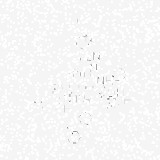 COC(=O)N[C@H](C(=O)N[C@H](Cc1ccc(-c2ccccn2)cc1)C[C@H](OP(=O)(O)O)[C@H](Cc1ccccc1)NC(=O)[C@@H](N1CCN(Cc2cccc(C(C)(C)O)n2)C1=O)C(C)(C)C)C(C)(C)C